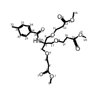 COC(=O)CCOCC(COCCC(=O)OC)(COCCC(=O)OC)NC(=O)c1ccc(C)cc1